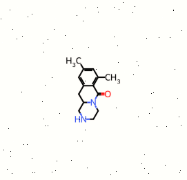 Cc1cc(C)c2c(c1)CC1CNCCN1C2=O